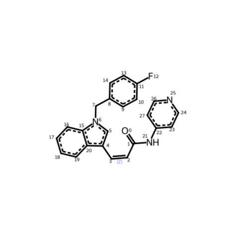 O=C(/C=C\c1cn(Cc2ccc(F)cc2)c2ccccc12)Nc1ccncc1